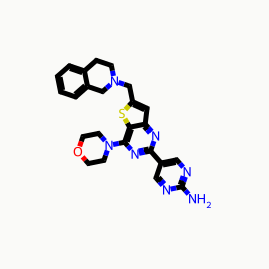 Nc1ncc(-c2nc(N3CCOCC3)c3sc(CN4CCc5ccccc5C4)cc3n2)cn1